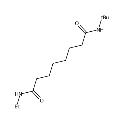 CCNC(=O)CCCCCCC(=O)NC(C)(C)C